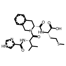 CSCC[C@H](NC(=O)[C@H]1Cc2ccccc2CN1C(=O)[C@@H](NC(=O)c1c[nH]cn1)C(C)C)C(=O)O